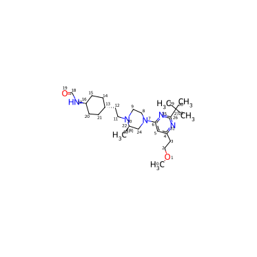 COCCc1cc(N2CCN(CC[C@H]3CC[C@H](NC=O)CC3)[C@H](C)C2)nc(C(C)(C)C)n1